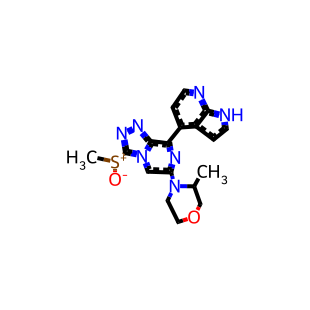 CC1COCCN1c1cn2c([S+](C)[O-])nnc2c(-c2ccnc3[nH]ccc23)n1